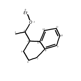 CCOC(C)C1CCCc2ccccc21